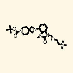 Cn1c(=O)n(COCC[Si](C)(C)C)c2cccc(N3CC4(CCN(C(=O)OC(C)(C)C)CC4)C3)c21